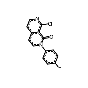 O=c1c2c(Cl)nccc2ccn1-c1ccc(F)cc1